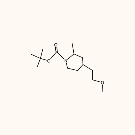 COCCC1CCN(C(=O)OC(C)(C)C)C(C)C1